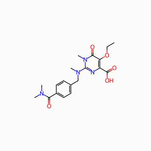 CCOc1c(C(=O)O)nc(N(C)Cc2ccc(C(=O)N(C)C)cc2)n(C)c1=O